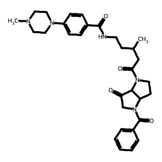 CC(CCNC(=O)c1ccc(N2CCN(C)CC2)cc1)CC(=O)N1CCC2C1C(=O)CN2C(=O)c1ccccc1